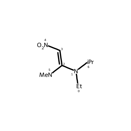 CCN(/C(=C/[N+](=O)[O-])NC)C(C)C